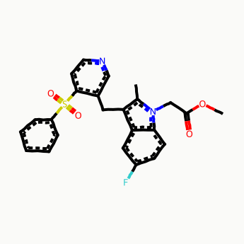 COC(=O)Cn1c(C)c(Cc2cnccc2S(=O)(=O)c2ccccc2)c2cc(F)ccc21